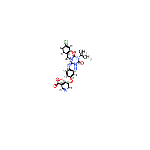 CC(C)n1c(=O)[nH]/c(=N\c2ccc(OC3C=C(C(=O)O)C=NC3)cc2)n(CC2=CC=C(Cl)CC2)c1=O